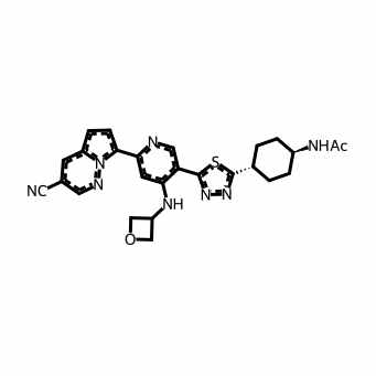 CC(=O)N[C@H]1CC[C@H](c2nnc(-c3cnc(-c4ccc5cc(C#N)cnn45)cc3NC3COC3)s2)CC1